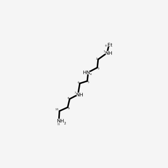 CCNCCNCCNCCCN